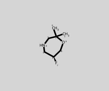 CC1(C)CNC[C@H](F)CO1